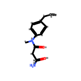 COCc1ccc(N(C)C(=O)CC(N)=O)cc1